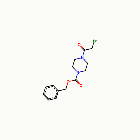 O=C(CBr)N1CCN(C(=O)OCc2ccccc2)CC1